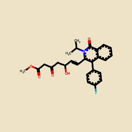 COC(=O)CC(=O)CC(O)/C=C/c1c(-c2ccc(F)cc2)c2ccccc2c(=O)n1C(C)C